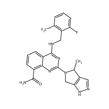 CC1c2cn[nH]c2CN1c1nc(NCc2c(F)cccc2C(F)(F)F)c2cccc(C(N)=O)c2n1